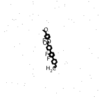 C=CC1CCC(c2ccc(C3CCC(C(=O)Oc4ccc(C5CO5)cc4F)CC3)c(F)c2F)CC1